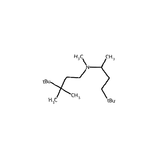 CC(CCC(C)(C)C)N(C)CCC(C)(C)C(C)(C)C